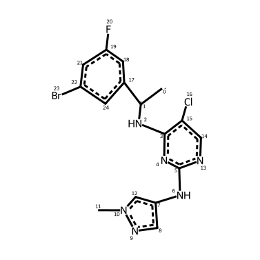 [CH2][C](Nc1nc(Nc2cnn(C)c2)ncc1Cl)c1cc(F)cc(Br)c1